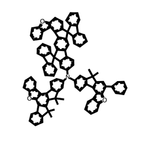 CC1(C)c2cc(N(c3ccc4c(c3)C(C)(C)c3c5c(c6oc7ccccc7c6c3-4)-c3ccccc3C5(C)C)c3ccc4c(c3)C3(c5ccccc5-c5ccccc53)c3cc5c(cc3-4)C3(c4ccccc4-c4ccccc43)c3ccc4oc6ccccc6c4c3-5)ccc2-c2c1cc(-c1ccccc1)c1oc3ccccc3c21